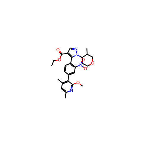 CCOC(=O)c1cnn(C2CCOCC2C)c1-c1ccc(-c2c(C)cc(C)nc2OC)cc1[N+](=O)[O-]